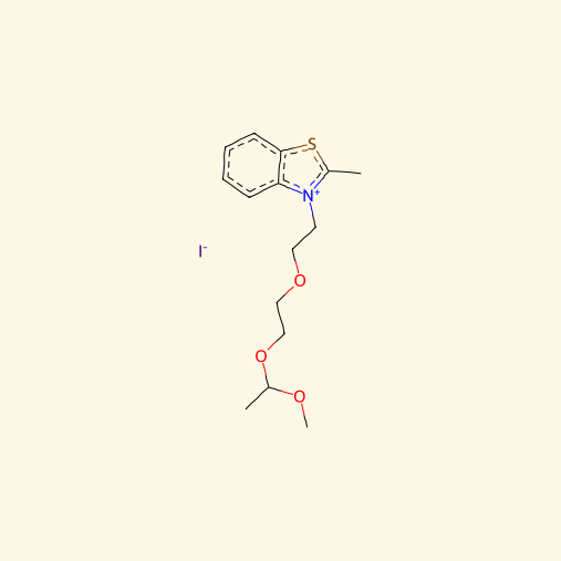 COC(C)OCCOCC[n+]1c(C)sc2ccccc21.[I-]